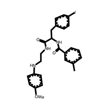 COc1ccc(NCCNC(=O)C(Cc2ccc(I)cc2)NC(=O)c2cccc(C)c2)cc1